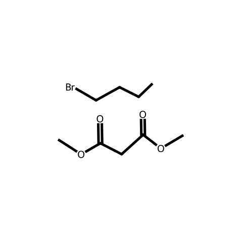 CCCCBr.COC(=O)CC(=O)OC